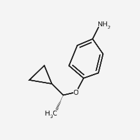 C[C@@H](Oc1ccc(N)cc1)C1CC1